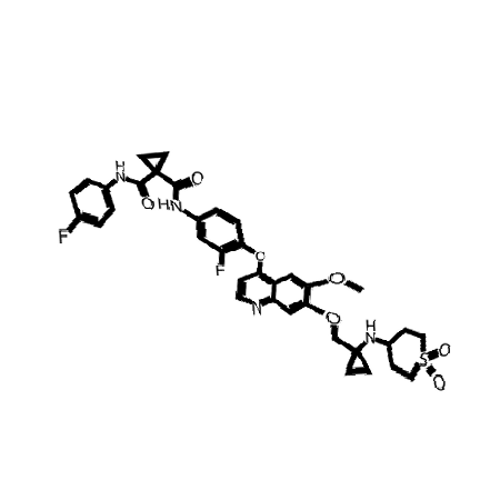 COc1cc2c(Oc3ccc(NC(=O)C4(C(=O)Nc5ccc(F)cc5)CC4)cc3F)ccnc2cc1OCC1(NC2CCS(=O)(=O)CC2)CC1